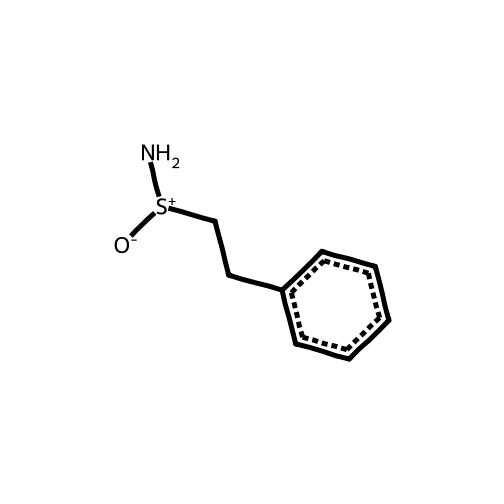 N[S+]([O-])CCc1ccccc1